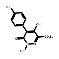 CCOC(=O)c1nn(C)c(=O)c(-c2ccc(C)cc2)c1O